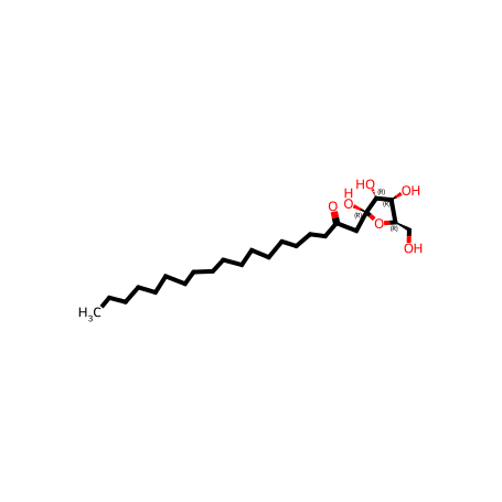 CCCCCCCCCCCCCCCCCC(=O)C[C@@]1(O)O[C@H](CO)[C@H](O)[C@H]1O